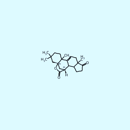 CC1(C)CCC2(C)C3=CCC4(C)C(=O)CCC4C3[C@H]3C[C@]2(C1)OC3=O